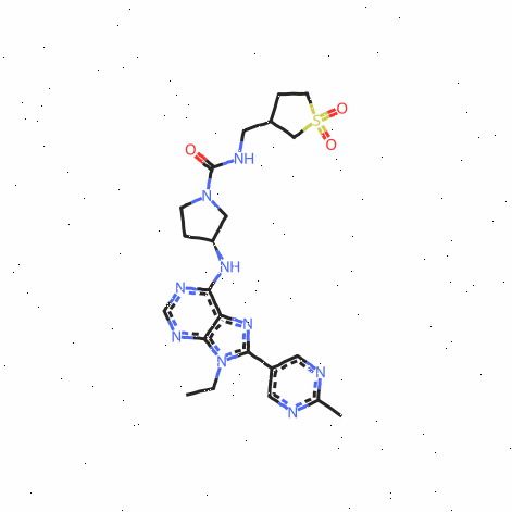 CCn1c(-c2cnc(C)nc2)nc2c(N[C@H]3CCN(C(=O)NCC4CCS(=O)(=O)C4)C3)ncnc21